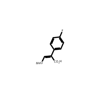 CO/C=C(\C(=O)O)c1ccc(F)cc1